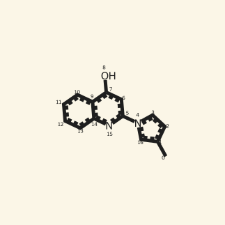 Cc1ccn(-c2cc(O)c3ccccc3n2)c1